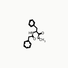 COC(=O)C(Cc1ccccc1)NC(=O)Cc1ccccc1